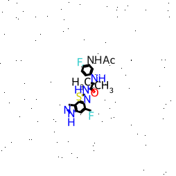 CC(=O)Nc1cc(NC(C)(C)C(=O)Nc2nc3c(CF)cc4[nH]ncc4c3s2)ccc1F